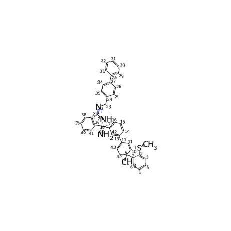 CSC1=CC=CCC1C1(C)C=CC(c2cccc(C(N)(N/C=N\Cc3ccc(-c4ccccc4)cc3)c3ccccc3)c2)=CC1